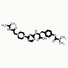 CC(C)NC(=O)CN1CCN(c2ncnc(N[C@@H](Cc3ccc(OC(=O)N(C)C)cc3)C(=O)O)n2)CC1